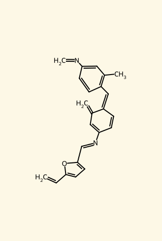 C=Cc1ccc(C=Nc2cc/c(=C/c3ccc(N=C)cc3C)c(=C)c2)o1